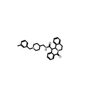 Cc1cccc(CN2CCC(CNC(=O)C3c4ccccc4C(=O)N4CCc5ccccc5C34)CC2)c1